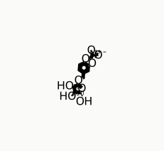 O=[N+]([O-])C1Oc2ccc(COC3O[C@H](CO)[C@@H](O)[C@H]3O)cc2O1